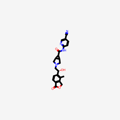 Cc1c([C@@H](O)CN2CC3C(C2)C3C(=O)Nc2ccc(C#N)cn2)ccc2c1COC2=O